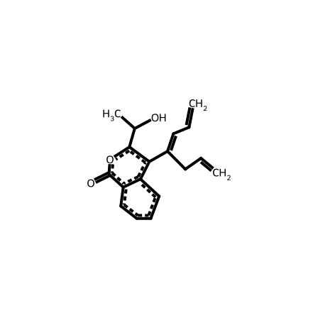 C=C/C=C(\CC=C)c1c(C(C)O)oc(=O)c2ccccc12